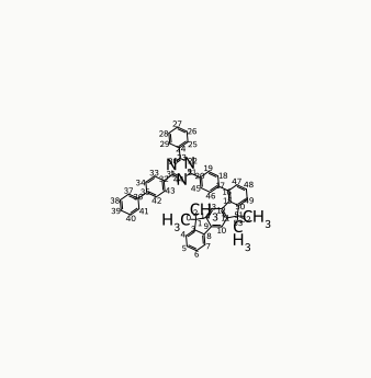 CC1(C)c2ccccc2-c2cc3c(cc21)-c1c(-c2ccc(-c4nc(-c5ccccc5)nc(-c5ccc(-c6ccccc6)cc5)n4)cc2)cccc1C3(C)C